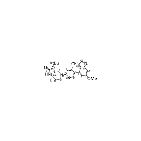 COc1cc(-c2ccc(N3CCC(C)(NC(=O)OC(C)(C)C)CC3)nc2)c2c(Cl)cnn2c1